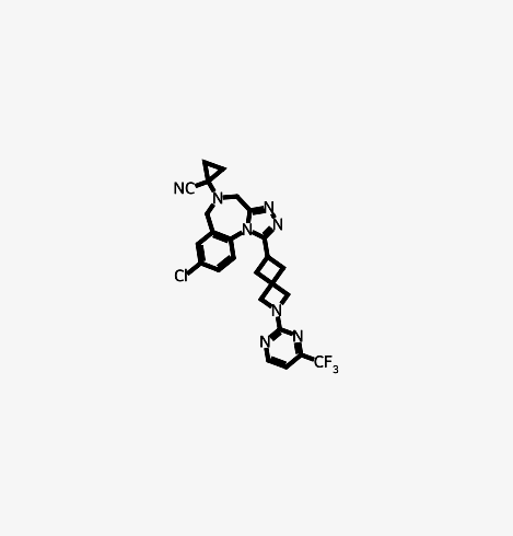 N#CC1(N2Cc3cc(Cl)ccc3-n3c(nnc3C3CC4(C3)CN(c3nccc(C(F)(F)F)n3)C4)C2)CC1